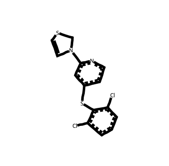 Clc1cccc(Cl)c1Sc1ccnc(N2C=CSC2)c1